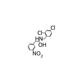 O=[N+]([O-])c1cccc(CC(O)NCc2ccc(Cl)cc2Cl)c1